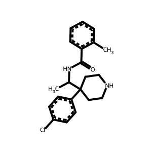 Cc1ccccc1C(=O)NC(C)C1(c2ccc(Cl)cc2)CCNCC1